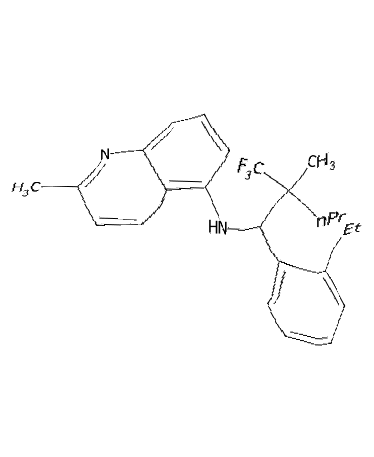 CCCC(C)(C(Nc1cccc2nc(C)ccc12)c1ccccc1CC)C(F)(F)F